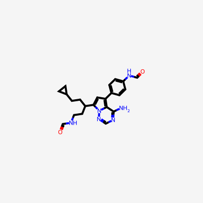 Nc1ncnn2c(C(CCNC=O)CCC3CC3)cc(-c3ccc(NC=O)cc3)c12